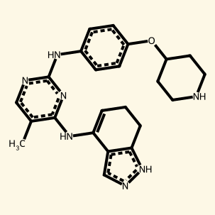 Cc1cnc(Nc2ccc(OC3CCNCC3)cc2)nc1NC1=CCCc2[nH]ncc21